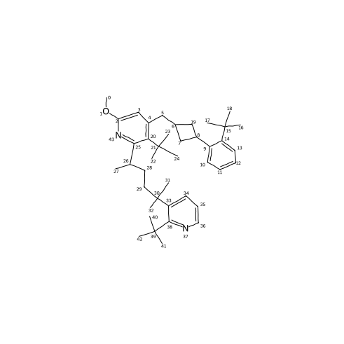 COc1cc(CC2CC(c3ccccc3C(C)(C)C)C2)c(C(C)(C)C)c(C(C)CCC(C)(C)c2cccnc2C(C)(C)C)n1